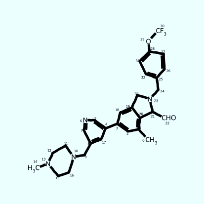 Cc1cc(-c2cncc(CN3CCN(C)CC3)c2)cc2c1C(C=O)N(Cc1ccc(OC(F)(F)F)cc1)C2